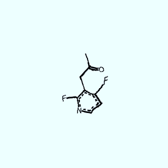 CC(=O)Cc1c(F)ccnc1F